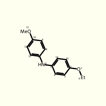 CCOc1ccc(Nc2ccc(OC)cc2)cc1